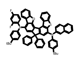 CC(C)(C)c1ccc(N(c2ccc3ccccc3c2)c2cc3c(c4c2sc2ccccc24)-c2c(cc(N(c4ccc(C(C)(C)C)cc4)c4ccc(F)cc4F)c4c2oc2ccccc24)C3(c2ccccc2)c2ccccc2)cc1